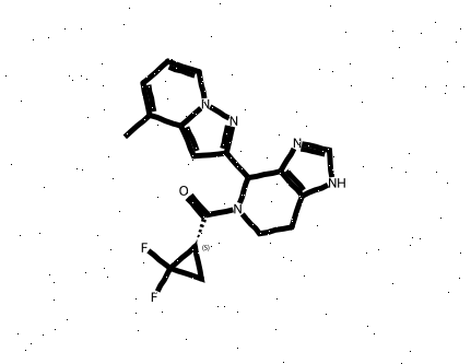 Cc1cccn2nc(C3c4nc[nH]c4CCN3C(=O)[C@@H]3CC3(F)F)cc12